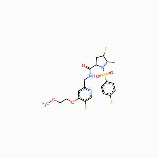 CC1C(F)CC(C(=O)NCc2cc(OCCOC(F)(F)F)c(F)cn2)N1S(=O)(=O)c1ccc(F)cc1